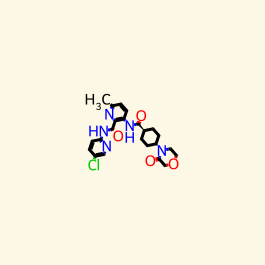 Cc1ccc(NC(=O)[C@H]2CC[C@H](N3CCOCC3=O)CC2)c(C(=O)Nc2ccc(Cl)cn2)n1